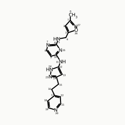 Cc1cc(CNc2nccc(Nc3cc(CCc4ccncc4)n[nH]3)n2)on1